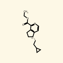 CCOC(=O)c1nccc2c1CC[C@H]2CCC1CC1